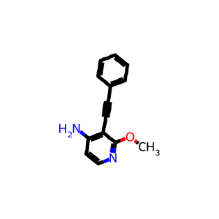 COc1nccc(N)c1C#Cc1ccccc1